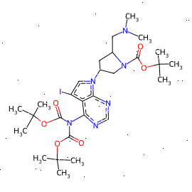 CN(C)CC1CC(n2cc(I)c3c(N(C(=O)OC(C)(C)C)C(=O)OC(C)(C)C)ncnc32)CN1C(=O)OC(C)(C)C